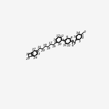 Cc1ccc(N(C)c2ccc(-c3cccc(CCCCCCc4ccc5c(c4)CC5)c3)cc2)cc1